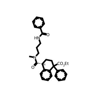 CCOC(=O)C1(c2ccccc2)CC[C@@H](C(=O)N(C)CCCNC(=O)c2ccccc2)c2ccccc21